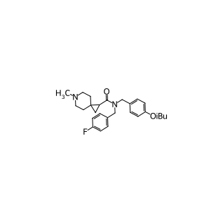 CC(C)COc1ccc(CN(Cc2ccc(F)cc2)C(=O)C2CC23CCN(C)CC3)cc1